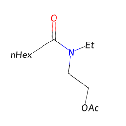 CCCCCCC(=O)N(CC)CCOC(C)=O